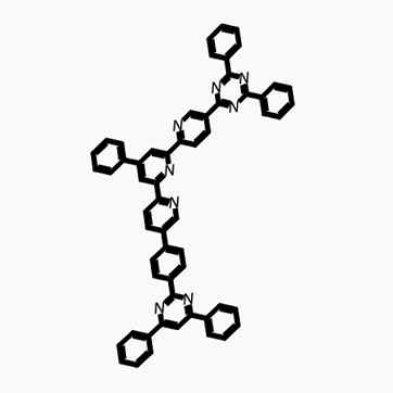 c1ccc(-c2cc(-c3ccc(-c4ccc(-c5nc(-c6ccccc6)cc(-c6ccccc6)n5)cc4)cn3)nc(-c3ccc(-c4nc(-c5ccccc5)nc(-c5ccccc5)n4)cn3)c2)cc1